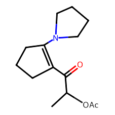 CC(=O)OC(C)C(=O)C1=C(N2CCCC2)CCC1